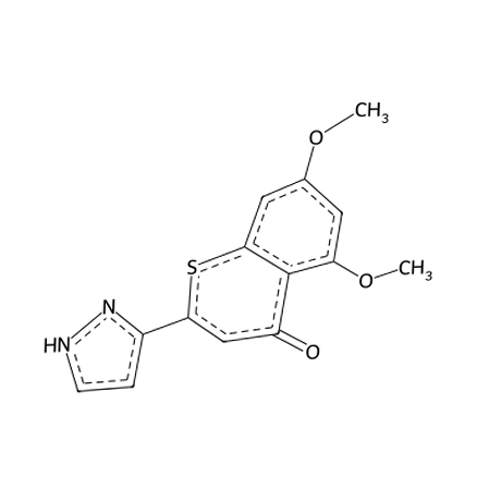 COc1cc(OC)c2c(=O)cc(-c3cc[nH]n3)sc2c1